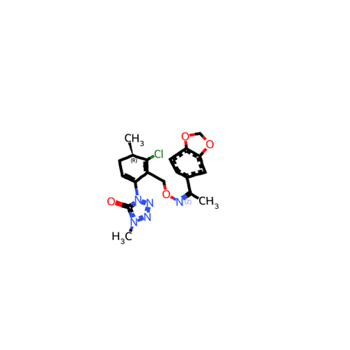 C/C(=N/OCC1=C(Cl)[C@H](C)CC=C1n1nnn(C)c1=O)c1ccc2c(c1)OCO2